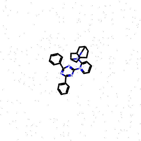 c1ccc(-c2nc(-c3ccccc3)nc(-[n+]3ccccc3N3C4CCC5CC3CC5C4)n2)cc1